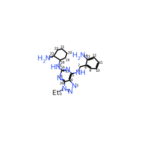 CCn1nnc2c(NCc3ccccc3N)nc(NC3CCCCC3N)nc21